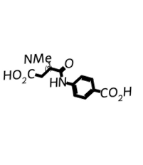 CN[C@@H](CC(=O)O)C(=O)Nc1ccc(C(=O)O)cc1